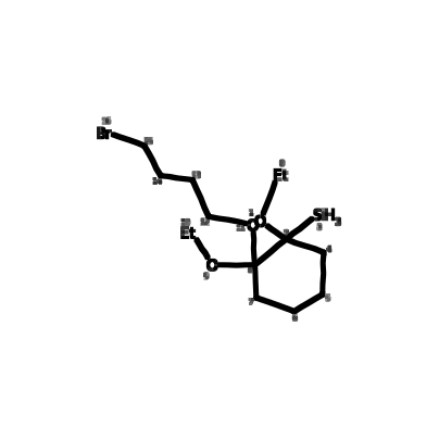 CCOC1([SiH3])CCCCC1(OCC)OCCCCBr